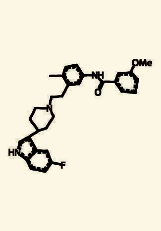 COc1cccc(C(=O)Nc2ccc(C)c(CCN3CCC(c4c[nH]c5ccc(F)cc45)CC3)c2)c1